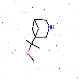 COC(C)(C)C12CNCC(C1)C2